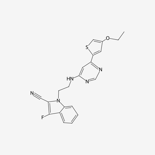 CCOc1csc(-c2cc(NCCn3c(C#N)c(F)c4ccccc43)ncn2)c1